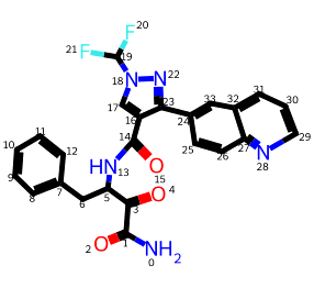 NC(=O)C(=O)C(Cc1ccccc1)NC(=O)c1cn(C(F)F)nc1-c1ccc2ncccc2c1